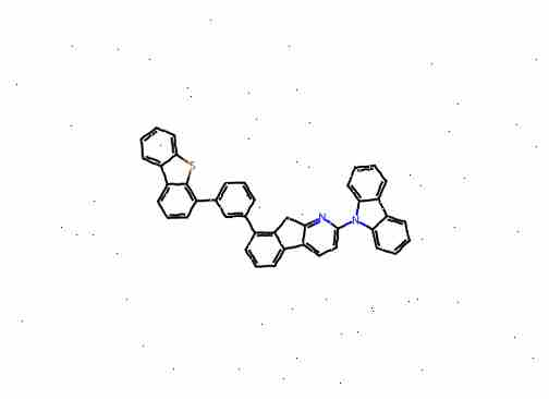 c1cc(-c2cccc3c2Cc2nc(-n4c5ccccc5c5ccccc54)ccc2-3)cc(-c2cccc3c2sc2ccccc23)c1